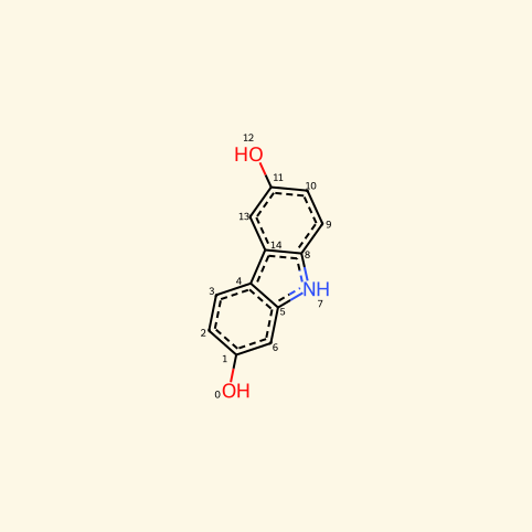 Oc1ccc2c(c1)[nH]c1ccc(O)cc12